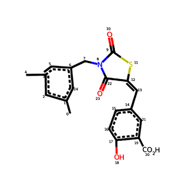 Cc1cc(C)cc(CN2C(=O)SC(=Cc3ccc(O)c(C(=O)O)c3)C2=O)c1